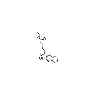 CCOC(=O)CCCC/C(=N/O)c1ccc2ccccc2c1